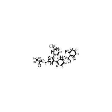 CC(C)(C)C(=O)OCc1nc(-c2cccc(NC(=O)c3c(F)cccc3F)c2)c(-c2ccnc(Cl)n2)s1